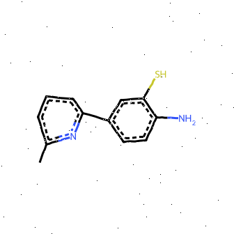 Cc1cccc(-c2ccc(N)c(S)c2)n1